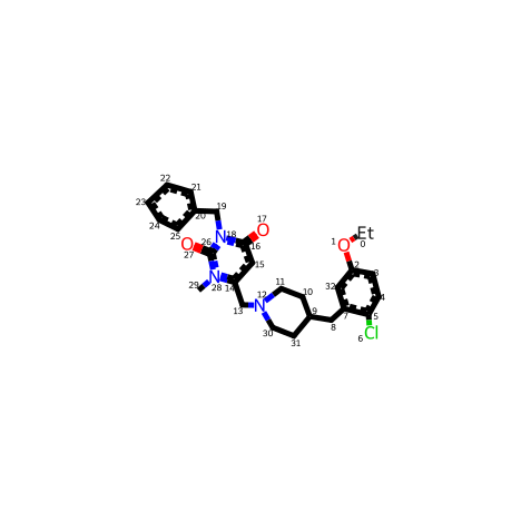 CCOc1ccc(Cl)c(CC2CCN(Cc3cc(=O)n(Cc4ccccc4)c(=O)n3C)CC2)c1